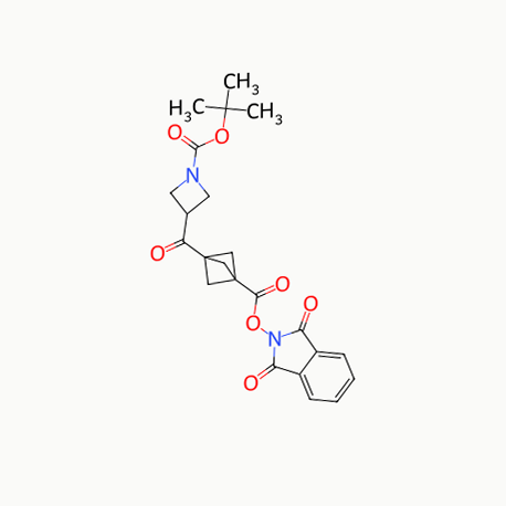 CC(C)(C)OC(=O)N1CC(C(=O)C23CC(C(=O)ON4C(=O)c5ccccc5C4=O)(C2)C3)C1